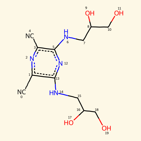 N#Cc1nc(C#N)c(NCC(O)CO)nc1NCC(O)CO